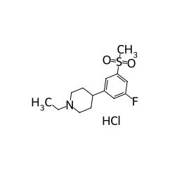 CCN1CCC(c2cc(F)cc(S(C)(=O)=O)c2)CC1.Cl